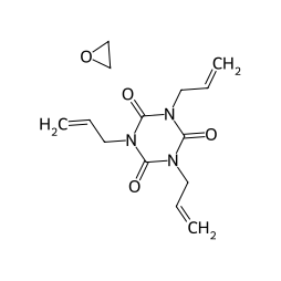 C1CO1.C=CCn1c(=O)n(CC=C)c(=O)n(CC=C)c1=O